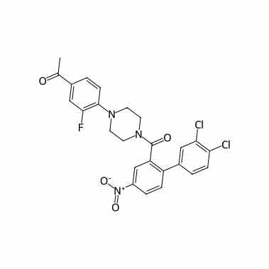 CC(=O)c1ccc(N2CCN(C(=O)c3cc([N+](=O)[O-])ccc3-c3ccc(Cl)c(Cl)c3)CC2)c(F)c1